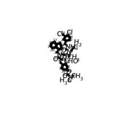 C=CCN(C(=O)NCc1ccc(Cl)c(Cl)c1)N(C)[C@H]1CN(Cc2cccc3ccccc23)C(=O)[C@H](Cc2ccc(OC(=O)N(C)C)cc2)N1C=O